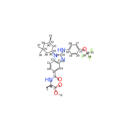 COC(=O)[C@@H](C)NC(=O)c1ccc2c(c1)nc(Nc1ccc(OC(F)(F)F)cc1)n2[C@@H]1C[C@H](C)CC(C)(C)C1